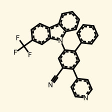 N#Cc1cc(-n2c3ccccc3c3ccc(C(F)(F)F)cc32)c(-c2ccccc2)cc1-c1ccncc1